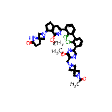 COc1nc(-c2cccc(-c3cccc(-c4cc5c(c(OC)n4)C(N4CC6(CCC(=O)N6)C4)CC5)c3Cl)c2Cl)cnc1CN1CC2(C1)CN(C(C)=O)C2